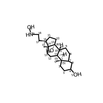 C[C@]12CCC(O)CC1CC[C@@H]1[C@@H]2CC[C@]2(C)[C@@H](CCNO)CC[C@@]12O